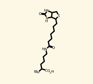 CC(C)(C)C(CCCCNC(=O)CCCCCCC1SCC2NC(=O)NC21)C(=O)O